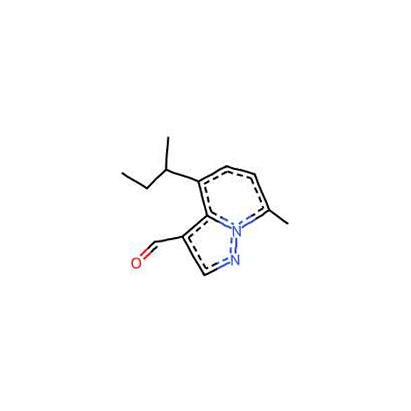 CCC(C)c1ccc(C)n2ncc(C=O)c12